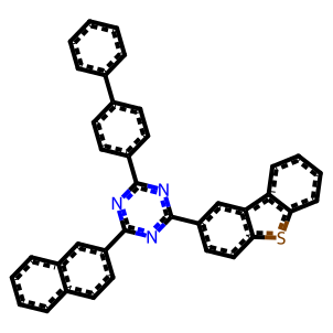 c1ccc(-c2ccc(-c3nc(-c4ccc5ccccc5c4)nc(-c4ccc5sc6ccccc6c5c4)n3)cc2)cc1